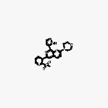 CS(=O)(=O)c1ncccc1-c1cc2ccc(N3CCOCC3)nc2c(-c2ccn[nH]2)n1